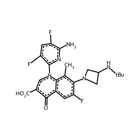 Cc1c(N2CC(NC(C)(C)C)C2)c(F)cc2c(=O)c(C(=O)O)cn(-c3nc(N)c(F)cc3F)c12